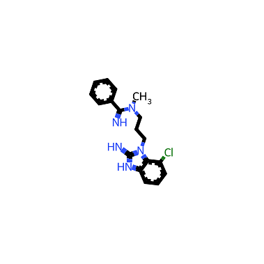 CN(CCCn1c(=N)[nH]c2cccc(Cl)c21)C(=N)c1ccccc1